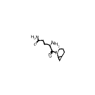 NC(=O)CC[C@H](N)C(=O)N1CCCC2CC21